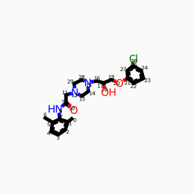 Cc1cccc(C)c1NC(=O)CN1CCN(CC(O)COc2cccc(Cl)c2)CC1